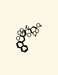 COC(=O)C[C@@H](C(=O)OC)N(C)C(=O)CC(Cc1cccc2ccccc12)C(=O)O